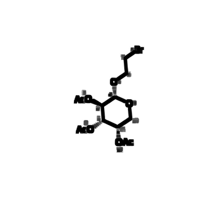 CC(=O)O[C@@H]1[C@@H](OC(C)=O)[C@H](OCCBr)OC[C@@H]1OC(C)=O